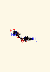 COc1cc2c(cc1OCCCCCOc1cc3c(cc1OC)C(=O)N1C[C@H](O)C[C@H]1CN3)NC[C@@H]1CC(c3ccc(N)cc3)=CN1C2=O